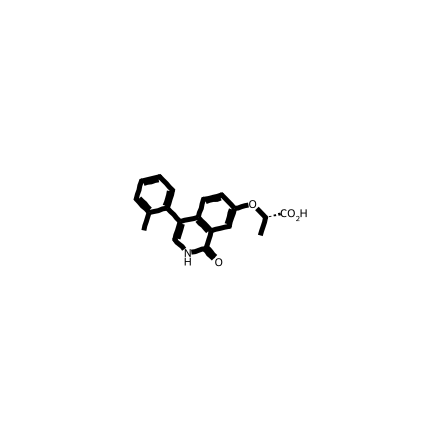 Cc1ccccc1-c1c[nH]c(=O)c2cc(O[C@@H](C)C(=O)O)ccc12